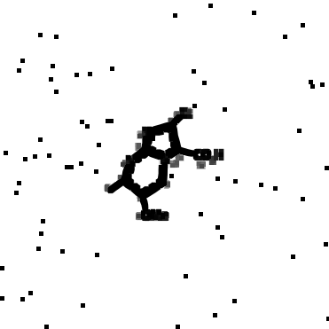 CCc1nc2nc(C)c(OC)cn2c1C(=O)O